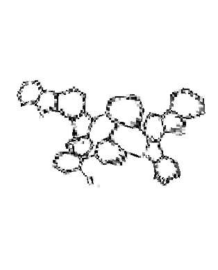 N#Cc1cccc(-n2c3ccccc3c3c4sc5ccccc5c4ccc32)c1-c1cc(-c2c(C(F)(F)F)cccc2C(F)(F)F)ccc1-n1c2ccccc2c2c3sc4ccccc4c3ccc21